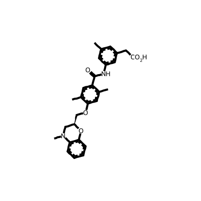 Cc1cc(CC(=O)O)cc(NC(=O)c2cc(C)c(OC[C@@H]3CN(C)c4ccccc4O3)cc2C)c1